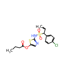 C=CC(c1ccc(Cl)cc1)S(=O)(=O)Nc1ncc(OC(=O)CCC)s1